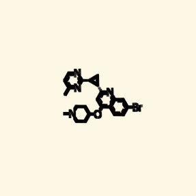 Cc1ccnc([C@H]2C[C@@H]2c2cc(OC3CCN(C)CC3)c3ccc(Br)cc3n2)n1